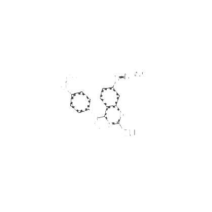 COc1ccc(N(C)c2nc(C)nc3cc(N=[N+]=N)ccc23)cc1